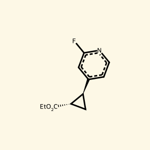 CCOC(=O)[C@H]1C[C@@H]1c1ccnc(F)c1